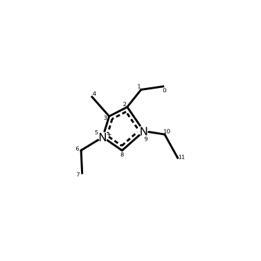 CCc1c(C)[n+](CC)cn1CC